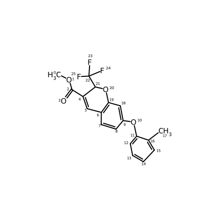 COC(=O)C1=Cc2ccc(Oc3ccccc3C)cc2OC1C(F)(F)F